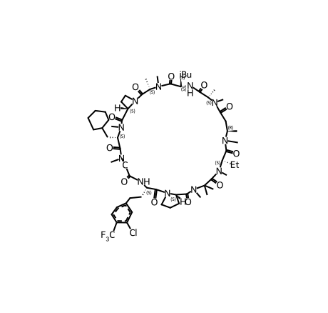 CC[C@H](C)[C@@H]1NC(=O)[C@H](C)N(C)C(=O)C[C@@H](C)N(C)C(=O)[C@H](CC)N(C)C(=O)C(C)(C)N(C)C(=O)[C@@H]2CCCN2C(=O)[C@H](CCc2ccc(C(F)(F)F)c(Cl)c2)NC(=O)CN(C)C(=O)[C@H](CC2CCCCC2)N(C)C(=O)[C@@H]2CCN2C(=O)[C@H](C)N(C)C1=O